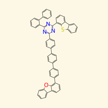 c1ccc(-c2ccccc2-c2nc(-c3ccc(-c4ccc(-c5ccc(-c6cccc7c6oc6ccccc67)cc5)cc4)cc3)nc(-c3cccc4c3sc3ccccc34)n2)cc1